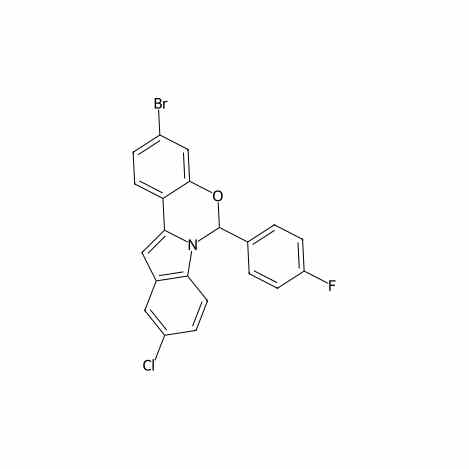 Fc1ccc(C2Oc3cc(Br)ccc3-c3cc4cc(Cl)ccc4n32)cc1